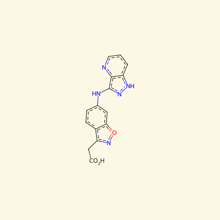 O=C(O)Cc1noc2cc(Nc3n[nH]c4cccnc34)ccc12